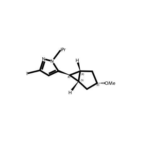 CO[C@H]1C[C@@H]2[C@H](C1)[C@H]2c1cc(I)nn1C(C)C